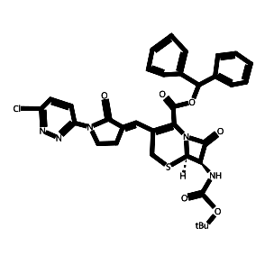 CC(C)(C)OC(=O)N[C@@H]1C(=O)N2C(C(=O)OC(c3ccccc3)c3ccccc3)=C(C=C3CCN(c4ccc(Cl)nn4)C3=O)CS[C@H]12